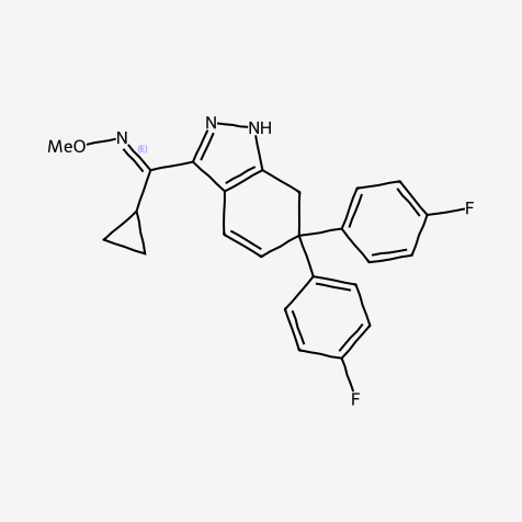 CO/N=C(/c1n[nH]c2c1C=CC(c1ccc(F)cc1)(c1ccc(F)cc1)C2)C1CC1